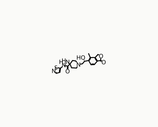 Cc1c([C@@H](O)CN2CCC(N)(C(=O)Nc3ccns3)CC2)ccc2c1COC2=O